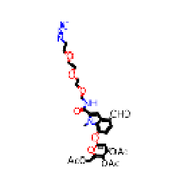 CC(=O)OCC1O[C@@H](Oc2ccc(C=O)c3cc(C(=O)NCOCCOCCOCCN=[N+]=[N-])n(C)c23)C[C@@H](OC(C)=O)C1OC(C)=O